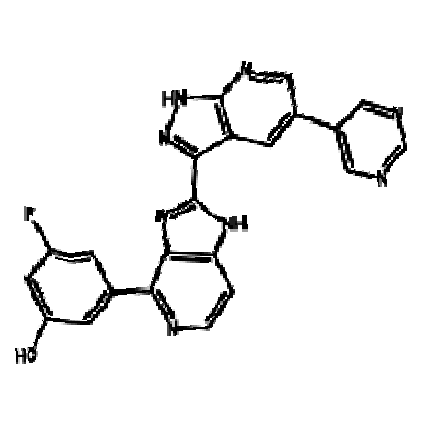 Oc1cc(F)cc(-c2nccc3[nH]c(-c4n[nH]c5ncc(-c6cncnc6)cc45)nc23)c1